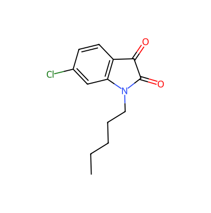 CCCCCN1C(=O)C(=O)c2ccc(Cl)cc21